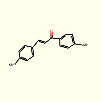 COc1ccc(/C=C/C(=O)c2ccc(SC)cc2)cc1